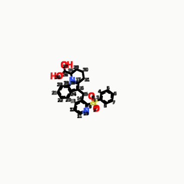 O=S(=O)(c1ccccc1)c1ncccc1Cc1c2n(c3ccccc13)C(C(O)O)CCC2